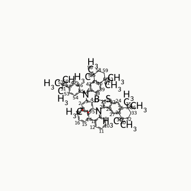 Cc1cc2c3c(c1)N(c1ccccc1-c1ccccc1)c1c(sc4cc5c(cc14)C(C)(C)CCC5(C)C)B3c1cc3c(cc1N2c1ccc(C(C)(C)C)cc1)C(C)(C)CCC3(C)C